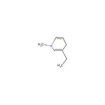 CCC1=CN(C)C=CC1